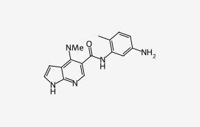 CNc1c(C(=O)Nc2cc(N)ccc2C)cnc2[nH]ccc12